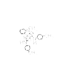 Cc1ccc(NC(=O)C[C@@]2(NC(=O)Nc3ccc(C)cc3)C(=O)N(C)c3ccccc32)cc1